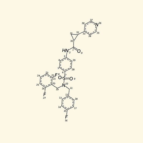 O=C(Nc1ccc(S(=O)(=O)N(Cc2ccc(F)cc2)Cc2c(F)cccc2F)cc1)C1CC1c1ccncc1